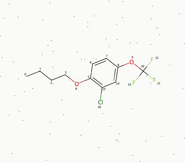 CCCCOc1ccc(OC(F)(F)F)cc1Cl